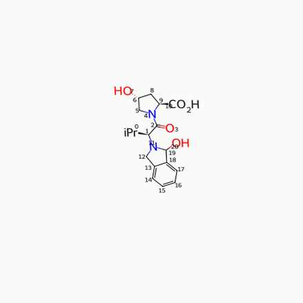 CC(C)[C@@H](C(=O)N1C[C@H](O)C[C@H]1C(=O)O)N1Cc2ccccc2C1O